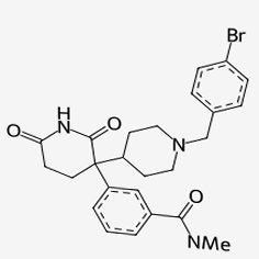 CNC(=O)c1cccc(C2(C3CCN(Cc4ccc(Br)cc4)CC3)CCC(=O)NC2=O)c1